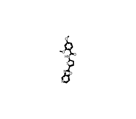 COc1ccc(C(=O)NC2CC=C(c3nc4cnccc4o3)S2)c(OC)c1